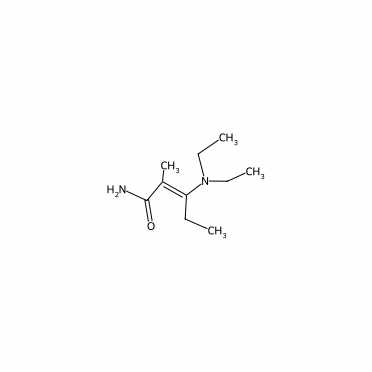 CC/C(=C(/C)C(N)=O)N(CC)CC